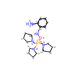 Nc1ccccc1NO[PH](N1CCCC1)(N1CCCC1)N1CCCC1